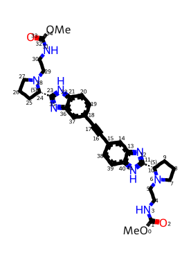 COC(=O)NCCN1CCC[C@H]1c1nc2cc(C#Cc3ccc4[nH]c([C@@H]5CCCN5CCNC(=O)OC)nc4c3)ccc2[nH]1